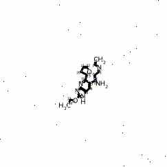 C=C/N=C\C=C(/N)c1cc2[nH]c(OCC)nc2nc1C1CC=CO1